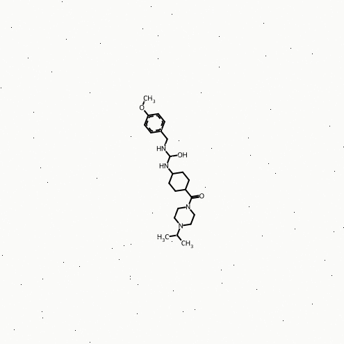 COc1ccc(CNC(O)NC2CCC(C(=O)N3CCN(C(C)C)CC3)CC2)cc1